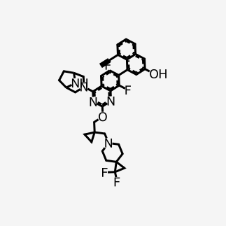 C#Cc1cccc2cc(O)cc(-c3c(F)cc4c(N5CC6CCC(C5)N6)nc(OCC5(CN6CCC7(CC6)CC7(F)F)CC5)nc4c3F)c12